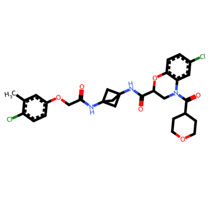 Cc1cc(OCC(=O)NC23CC(NC(=O)C4CN(C(=O)C5CCOCC5)c5cc(Cl)ccc5O4)(C2)C3)ccc1Cl